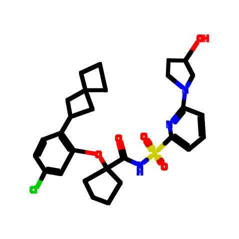 O=C(NS(=O)(=O)c1cccc(N2CCC(O)C2)n1)C1(Oc2cc(Cl)ccc2C2CC3(CCC3)C2)CCCC1